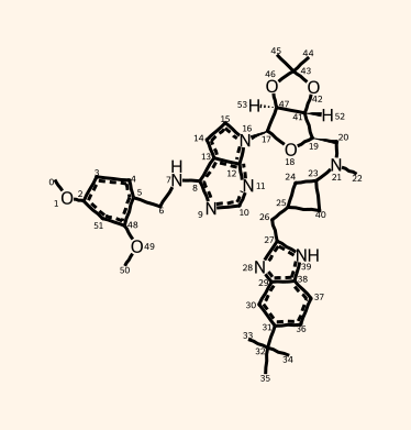 COc1ccc(CNc2ncnc3c2ccn3[C@@H]2O[C@H](CN(C)C3CC(Cc4nc5cc(C(C)(C)C)ccc5[nH]4)C3)[C@H]3OC(C)(C)O[C@@H]32)c(OC)c1